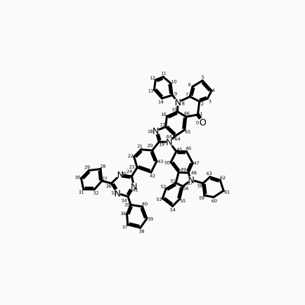 O=c1c2ccccc2n(-c2ccccc2)c2cc3nc(-c4ccc(-c5nc(-c6ccccc6)nc(-c6ccccc6)n5)cc4)n(-c4ccc5c(c4)c4ccccc4n5C4=CCCC=C4)c3cc12